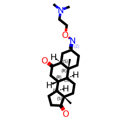 CN(C)CCO/N=C1/CC[C@@]2(C)[C@H](C1)C(=O)C[C@@H]1[C@@H]2CC[C@]2(C)C(=O)CC[C@@H]12